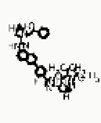 COC(=O)N[C@H](C(=O)N1[C@@H]2C[C@@H]2C[C@H]1c1ncc(-c2ccc(-c3ccc4c(ccc5[nH]c([C@@H]6C[C@H]7C[C@H]7N6CC(=O)c6ccccc6)nc54)c3)cc2F)[nH]1)C(C)C